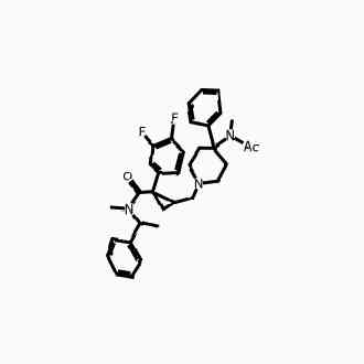 CC(=O)N(C)C1(c2ccccc2)CCN(CC2CC2(C(=O)N(C)C(C)c2ccccc2)c2ccc(F)c(F)c2)CC1